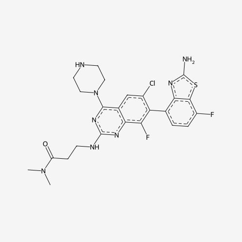 CN(C)C(=O)CCNc1nc(N2CCNCC2)c2cc(Cl)c(-c3ccc(F)c4sc(N)nc34)c(F)c2n1